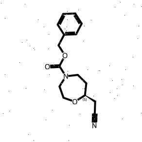 N#CC[C@@H]1CCN(C(=O)OCc2ccccc2)CCO1